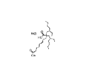 CCCCC(CC)CC(CCCCCCCC(=O)O)(CC(CC)CCCC)C(=O)O.Cl